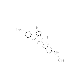 CCn1cc2c(n1)c(Cl)c(-c1nc3ccc(NCCO)cc3[nH]1)c(=O)n2Cc1ccc(OC)cc1